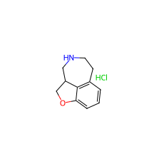 Cl.c1cc2c3c(c1)OCC3CNCC2